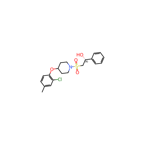 Cc1ccc(OC2CCN(S(=O)(=O)C[C@H](O)c3ccccc3)CC2)c(Cl)c1